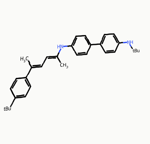 C/C(=C\C=C(/C)c1ccc(C(C)(C)C)cc1)Nc1ccc(-c2ccc(NC(C)(C)C)cc2)cc1